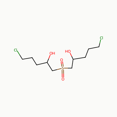 O=S(=O)(CC(O)CCCCl)CC(O)CCCCl